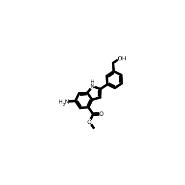 COC(=O)c1cc(N)cc2[nH]c(-c3cccc(CO)c3)cc12